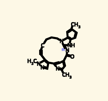 Cc1ccc2c(c1)N1CCCCC#Cc3c(cnn3C)-c3cc(cc(C)n3)C(=O)/N=C/1N2